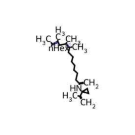 C=C(CCCCCCC/C(C)=C(/C)C/C(C)=C(/C)CCCCCC)NC1(C(=C)C)CC1